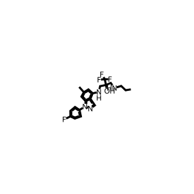 CCCNCC(O)(CNc1cc(C)cc2c1cnn2-c1ccc(F)cc1)C(F)(F)F